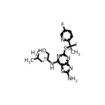 CC(C)C[C@H](CO)Nc1nc(S[C@@](C)(I)c2ccc(F)cn2)nc2nc(N)sc12